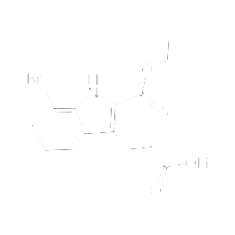 CCOC(=O)c1[nH]c2c(Br)cccc2c1CCC(=O)O